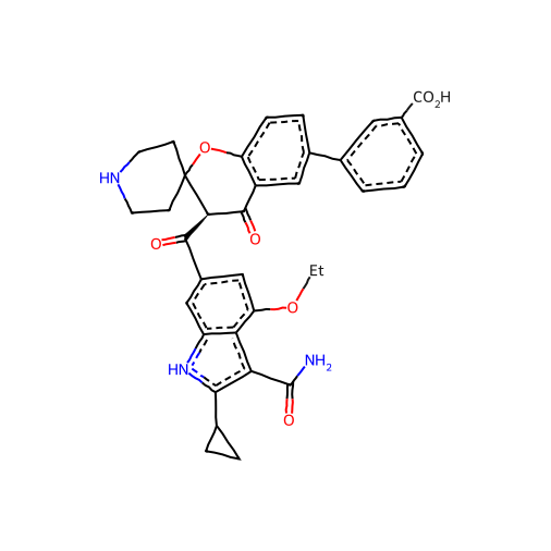 CCOc1cc(C(=O)[C@@H]2C(=O)c3cc(-c4cccc(C(=O)O)c4)ccc3OC23CCNCC3)cc2[nH]c(C3CC3)c(C(N)=O)c12